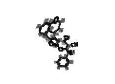 N#CC(C(=O)Nc1ccccc1)C(=O)c1noc2c1C1CCOc3cccc-2c31